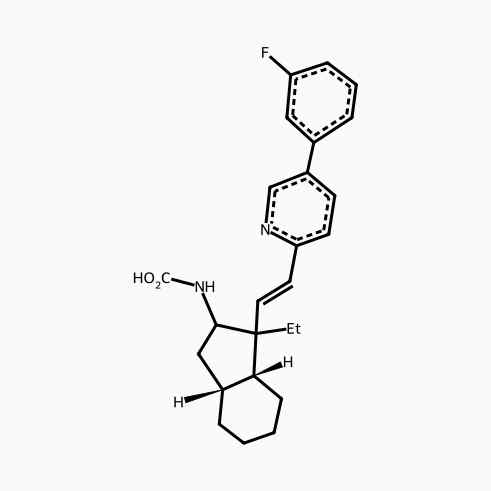 CCC1(C=Cc2ccc(-c3cccc(F)c3)cn2)C(NC(=O)O)C[C@H]2CCCC[C@H]21